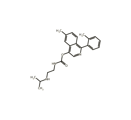 Cc1ccc2c(-c3ccccc3C)ncc(OC(=O)NCCNC(C)C)c2c1